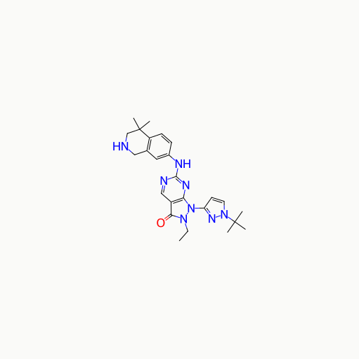 CCn1c(=O)c2cnc(Nc3ccc4c(c3)CNCC4(C)C)nc2n1-c1ccn(C(C)(C)C)n1